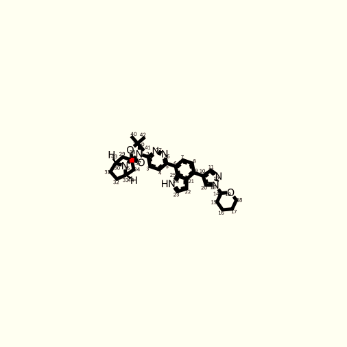 CN(c1ccc(-c2ccc(-c3cnn(C4CCCCO4)c3)c3cc[nH]c23)nn1)C1C[C@H]2CC[C@@H](C1)N2C(=O)OC(C)(C)C